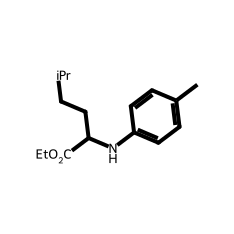 CCOC(=O)C(CCC(C)C)Nc1ccc(C)cc1